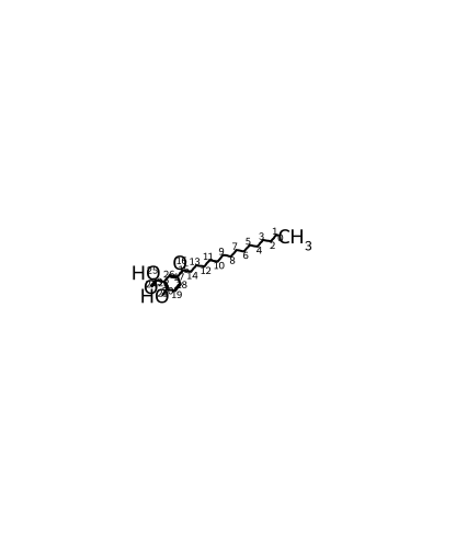 CCCCCCCCCCCCCCCC(=O)c1ccc(O)c(C(=O)O)c1